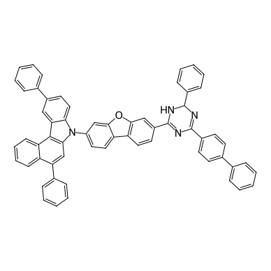 c1ccc(-c2ccc(C3=NC(c4ccccc4)NC(c4ccc5c(c4)oc4cc(-n6c7ccc(-c8ccccc8)cc7c7c8ccccc8c(-c8ccccc8)cc76)ccc45)=N3)cc2)cc1